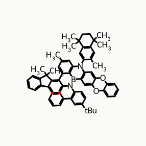 Cc1cc2c3c(c1)N(c1cc4c(cc1C)C(C)(C)CCC4(C)C)c1cc4c(cc1B3N(c1ccc(C(C)(C)C)cc1-c1ccccc1)c1ccc3c(c1-2)C(C)(C)c1ccccc1-3)Oc1ccccc1O4